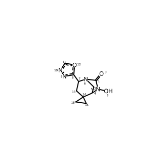 O=C1N(O)C2CN1C(c1nnco1)CC21CC1